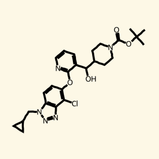 CC(C)(C)OC(=O)N1CCC(C(O)c2cccnc2Oc2ccc3c(nnn3CC3CC3)c2Cl)CC1